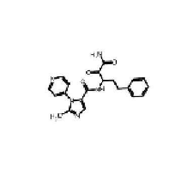 Cc1ncc(C(=O)NC(CCc2ccccc2)C(=O)C(N)=O)n1-c1ccncc1